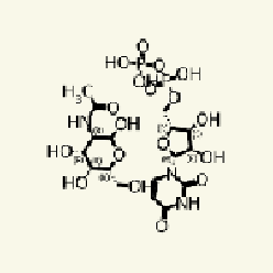 CC(=O)N[C@H]1C(O)O[C@H](CO)[C@H](O)[C@@H]1O.O=c1ccn([C@@H]2O[C@H](COP(=O)(O)OP(=O)(O)O)[C@@H](O)[C@H]2O)c(=O)[nH]1